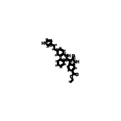 CCOC(=O)c1ccc2c(c1)NC(=O)/C2=C(\Nc1ccc(CCc2c[nH]cn2)cc1)c1ccccc1